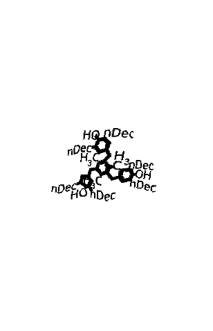 CCCCCCCCCCc1cc(Cc2c(C)c(Cc3cc(CCCCCCCCCC)c(O)c(CCCCCCCCCC)c3)c(C)c(Cc3cc(CCCCCCCCCC)c(O)c(CCCCCCCCCC)c3)c2C)cc(CCCCCCCCCC)c1O